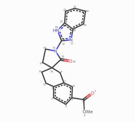 COC(=O)c1ccc2c(c1)CC1(CC2)CCN(c2nc3ccccc3[nH]2)C1=O